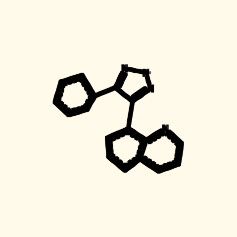 c1ccc(C2=N[N]N=C2c2cccc3cccnc23)cc1